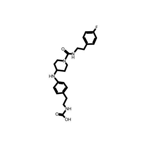 O=C(O)NCCc1ccc(NC2CCN(C(=O)NCCc3ccc(F)cc3)CC2)cc1